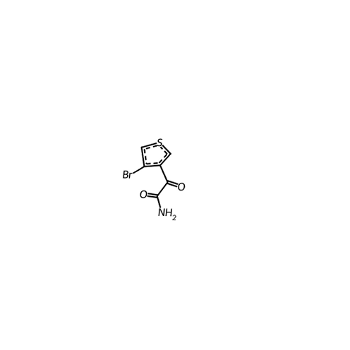 NC(=O)C(=O)c1cscc1Br